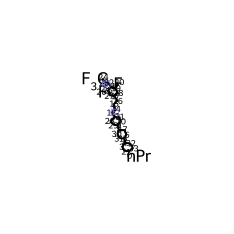 CCCC1CCC(C2CCC(C3CCC(/C=C/CCc4cc(F)c(/C=C/C(F)(F)F)c(F)c4)CC3)CC2)CC1